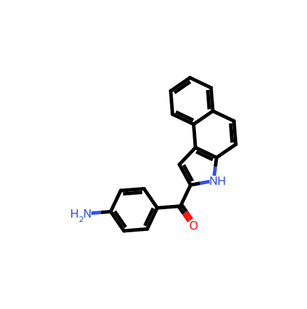 Nc1ccc(C(=O)c2cc3c(ccc4ccccc43)[nH]2)cc1